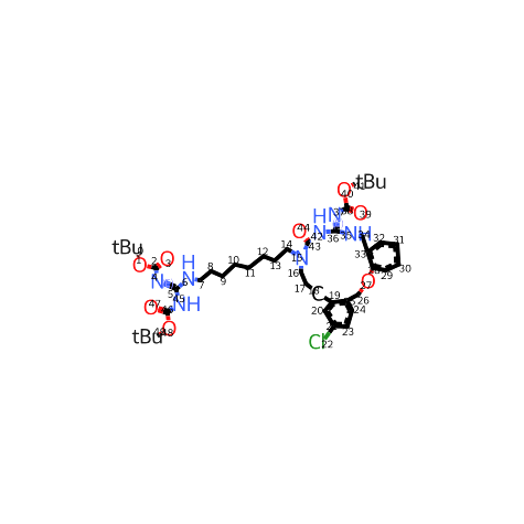 CC(C)(C)OC(=O)/N=C(\NCCCCCCCCN1CCCc2cc(Cl)ccc2COc2ccccc2CN/C(=N\C(=O)OC(C)(C)C)NC1=O)NC(=O)OC(C)(C)C